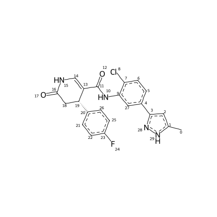 Cc1cc(-c2ccc(Cl)c(NC(=O)C3=CNC(=O)C[C@H]3c3ccc(F)cc3)c2)n[nH]1